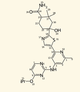 Cc1cc(Nc2nccc(OC(C)C)n2)cc(-c2cnc(C3(O)CCC(C(N)=O)C(C)(C)C3)s2)n1